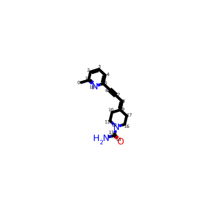 Cc1cccc(C#CC=C2CCN(C(N)=O)CC2)n1